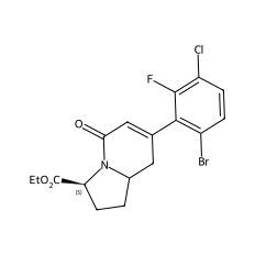 CCOC(=O)[C@@H]1CCC2CC(c3c(Br)ccc(Cl)c3F)=CC(=O)N21